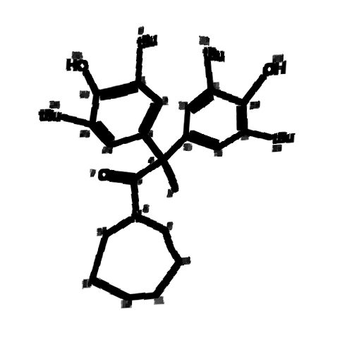 CC(C)(C)c1cc(C(C)(C(=O)N2CCCCCC2)c2cc(C(C)(C)C)c(O)c(C(C)(C)C)c2)cc(C(C)(C)C)c1O